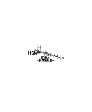 CCCCCCCCCCCCCCCCCCNc1ccc(O)cc1.Cc1cc(O)ccc1C(=O)O